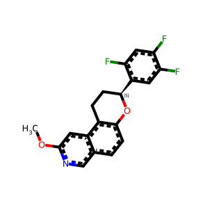 COc1cc2c3c(ccc2cn1)O[C@H](c1cc(F)c(F)cc1F)CC3